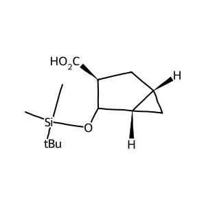 CC(C)(C)[Si](C)(C)OC1[C@@H](C(=O)O)C[C@@H]2C[C@H]12